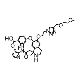 COCCOCc1cn(CCOc2cc3c(cc2Oc2ccc(C(=O)O)c(F)c2)C(C)(CC(=O)Nc2nccs2)NCC3)nn1